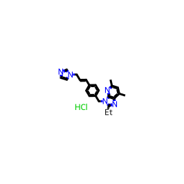 CCc1nc2c(C)cc(C)nc2n1Cc1ccc(/C=C/Cn2ccnc2)cc1.Cl